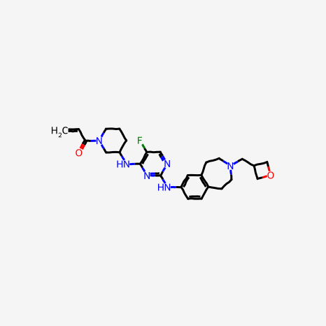 C=CC(=O)N1CCCC(Nc2nc(Nc3ccc4c(c3)CCN(CC3COC3)CC4)ncc2F)C1